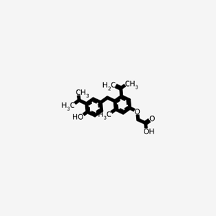 C=C(C)c1cc(OCC(=O)O)cc(C)c1Cc1ccc(O)c(C(C)C)c1